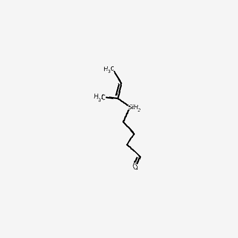 C/C=C(\C)[SiH2]CCCC=O